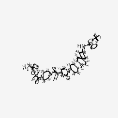 CC(C)(C)OC(=O)NC1CC2(CCN(C[C@H]3CC[C@H](n4ccc(NC(=O)N5CCN(C(=O)C(C)(C)OC(N)=O)CC5)nc4=O)CC3)CC2)C1